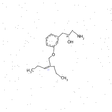 CC/C=C(/CCC)COc1cccc(C[C@@H](O)CN)c1